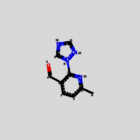 Cc1ccc(C=O)c(-n2cncn2)n1